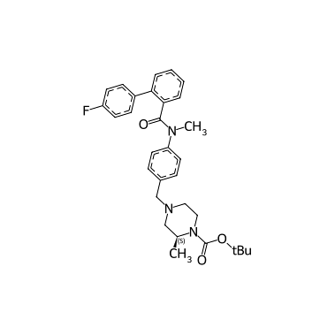 C[C@H]1CN(Cc2ccc(N(C)C(=O)c3ccccc3-c3ccc(F)cc3)cc2)CCN1C(=O)OC(C)(C)C